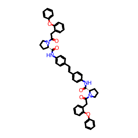 O=C(Nc1ccc(/C=C/c2ccc(NC(=O)[C@@H]3CCCN3C(=O)Cc3ccccc3Oc3ccccc3)cc2)cc1)[C@@H]1CCCN1C(=O)Cc1ccccc1Oc1ccccc1